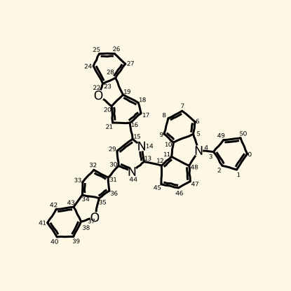 c1ccc(-n2c3ccccc3c3c(-c4nc(-c5ccc6c(c5)oc5ccccc56)cc(-c5ccc6c(c5)oc5ccccc56)n4)cccc32)cc1